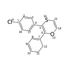 Clc1ccc(C2=C(C3=CC=CCC3)OC=CS2)cc1